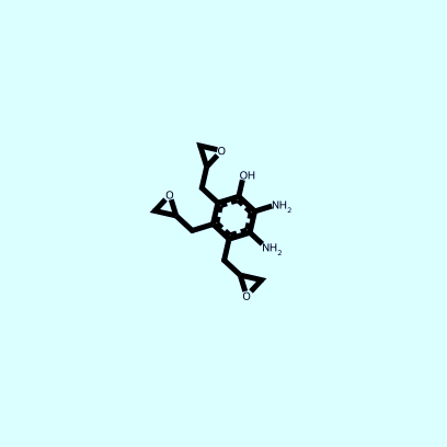 Nc1c(N)c(CC2CO2)c(CC2CO2)c(CC2CO2)c1O